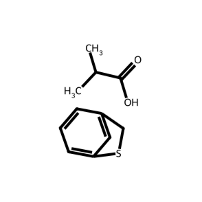 CC(C)C(=O)O.c1cc2cc(c1)SC2